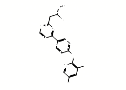 CCOC(=O)CC(N)Cc1cc(-c2ccc(Oc3ncc(Cl)cc3F)cc2)ccn1